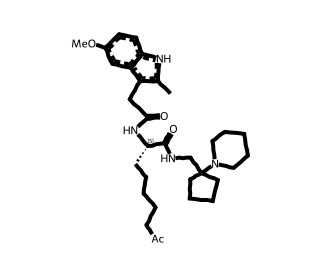 COc1ccc2[nH]c(C)c(CC(=O)N[C@@H](CCCCCC(C)=O)C(=O)NCC3(N4CCCCC4)CCCC3)c2c1